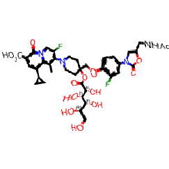 CC(=O)NCC1CN(c2ccc(OCC3(OC(=O)[C@H](O)[C@@H](O)[C@H](O)[C@H](O)CO)CCN(c4c(F)cn5c(=O)c(C(=O)O)cc(C6CC6)c5c4C)CC3)c(F)c2)C(=O)O1